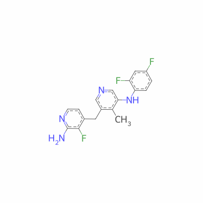 Cc1c(Cc2ccnc(N)c2F)cncc1Nc1ccc(F)cc1F